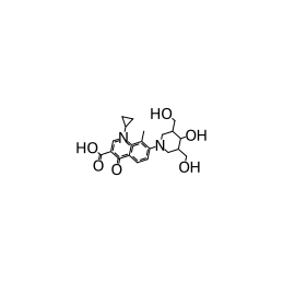 Cc1c(N2CC(CO)C(O)C(CO)C2)ccc2c(=O)c(C(=O)O)cn(C3CC3)c12